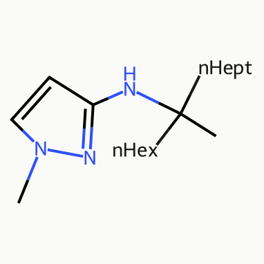 CCCCCCCC(C)(CCCCCC)Nc1ccn(C)n1